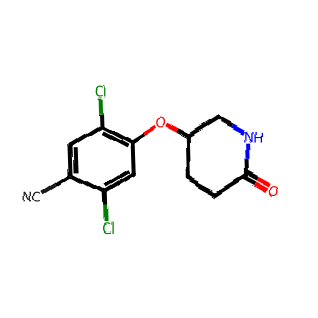 N#Cc1cc(Cl)c(OC2CCC(=O)NC2)cc1Cl